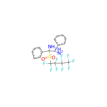 NC(c1ccccc1)C(N)(c1ccccc1)S(=O)(=O)C(F)(F)C(F)(F)C(F)(F)C(F)(F)F